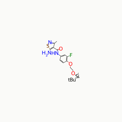 Cc1nsc(N)c1C(=O)Nc1ccc(OCCO[Si](C)(C)C(C)(C)C)c(F)c1